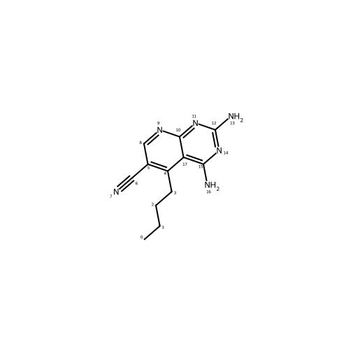 CCCCc1c(C#N)cnc2nc(N)nc(N)c12